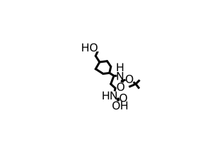 CC(C)(C)OC(=O)NC(CCNC(=O)O)C1CCC(CCO)CC1